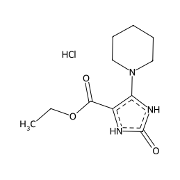 CCOC(=O)c1[nH]c(=O)[nH]c1N1CCCCC1.Cl